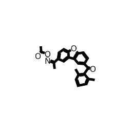 CC(=O)O/N=C(/C)c1ccc2oc3ccc(C(=O)c4c(C)cccc4C)cc3c2c1